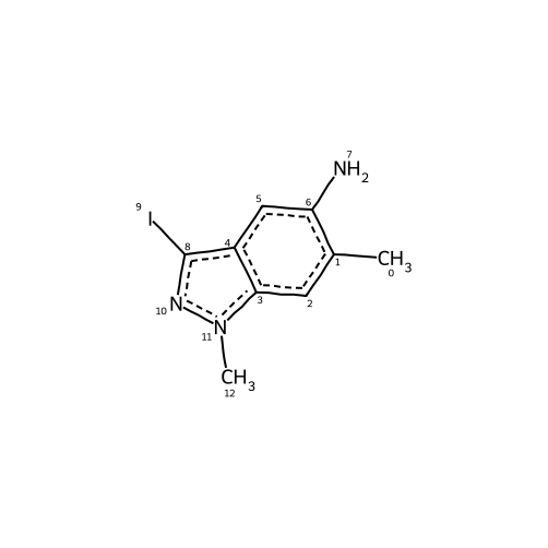 Cc1cc2c(cc1N)c(I)nn2C